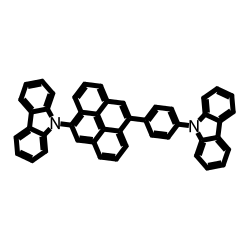 c1cc2cc(-n3c4ccccc4c4ccccc43)c3cccc4cc(-c5ccc(-n6c7ccccc7c7ccccc76)cc5)c(c1)c2c43